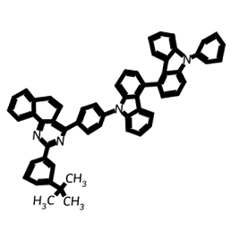 CC(C)(C)c1cccc(-c2nc(-c3ccc(-n4c5ccccc5c5c(-c6cccc7c6c6ccccc6n7-c6ccccc6)cccc54)cc3)c3ccc4ccccc4c3n2)c1